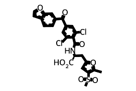 Cc1oc(C[C@H](NC(=O)c2c(Cl)cc(C(=O)c3ccc4ccoc4c3)cc2Cl)C(=O)O)cc1S(C)(=O)=O